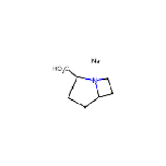 O=C(O)C1CCC2CCN21.[Na]